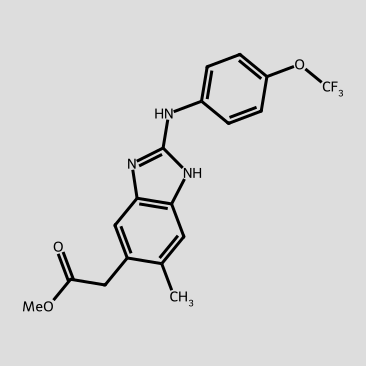 COC(=O)Cc1cc2nc(Nc3ccc(OC(F)(F)F)cc3)[nH]c2cc1C